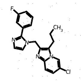 CCCc1c(Cn2ccnc2-c2cccc(F)c2)nc2ccc(Cl)cn12